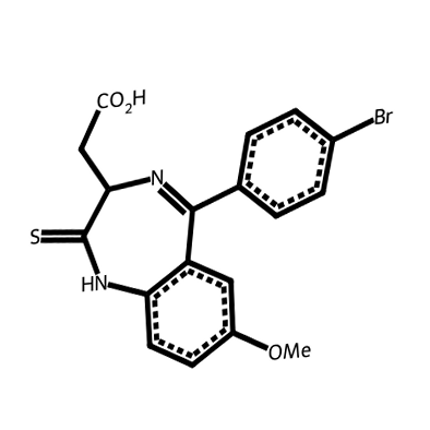 COc1ccc2c(c1)C(c1ccc(Br)cc1)=NC(CC(=O)O)C(=S)N2